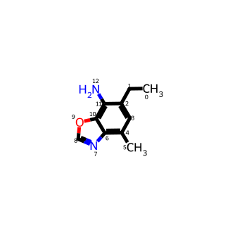 CCc1cc(C)c2ncoc2c1N